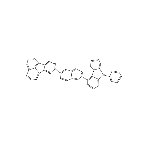 c1ccc(-n2c3ccccc3c3c(-c4ccc5cc(-c6ncc7c(n6)-c6cccc8cccc-7c68)ccc5c4)cccc32)cc1